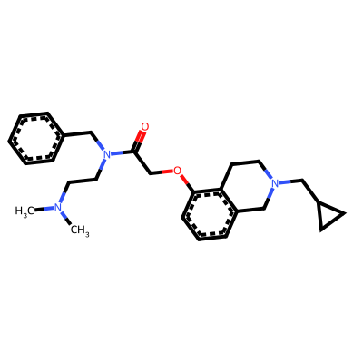 CN(C)CCN(Cc1ccccc1)C(=O)COc1cccc2c1CCN(CC1CC1)C2